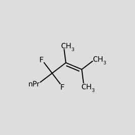 CCCC(F)(F)C(C)=C(C)C